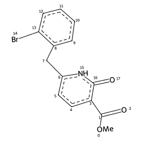 COC(=O)c1ccc(Cc2ccccc2Br)[nH]c1=O